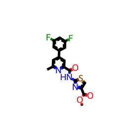 COC(=O)c1csc(NC(=O)c2cc(-c3cc(F)cc(F)c3)cc(C)n2)n1